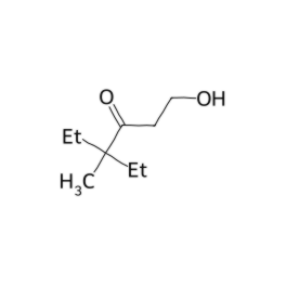 CCC(C)(CC)C(=O)CCO